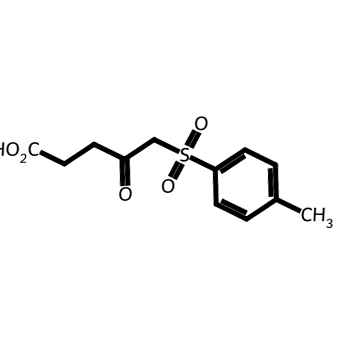 Cc1ccc(S(=O)(=O)CC(=O)CCC(=O)O)cc1